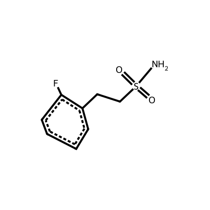 NS(=O)(=O)CCc1ccccc1F